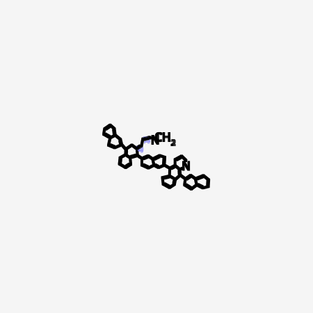 C=N/C=C\C=C1/CC(c2ccc3ccccc3c2)=c2ccccc2=C1c1ccc2cc(-c3c4ccccc4c(-c4ccc5ccccc5c4)c4ncccc34)ccc2c1